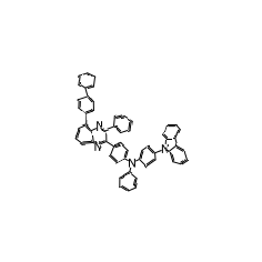 c1ccc(-c2ccc(-c3cccc4nc(-c5ccc(N(c6ccccc6)c6ccc(-n7c8ccccc8c8ccccc87)cc6)cc5)c(-c5ccccc5)nc34)cc2)cc1